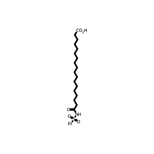 CCS(=O)(=O)NC(=O)CCCCCCCCCCCCCCCCC(=O)O